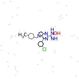 CC1CCC(Cn2ccc3nc(C(=N)NO)nc(-c4cccc(Cl)c4)c32)CC1